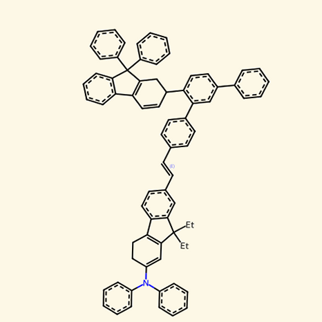 CCC1(CC)C2=C(CCC(N(c3ccccc3)c3ccccc3)=C2)c2ccc(/C=C/c3ccc(-c4cc(-c5ccccc5)ccc4C4C=CC5=C(C4)C(c4ccccc4)(c4ccccc4)c4ccccc45)cc3)cc21